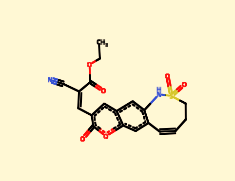 CCOC(=O)C(C#N)=Cc1cc2cc3c(cc2oc1=O)C#CCCS(=O)(=O)N3